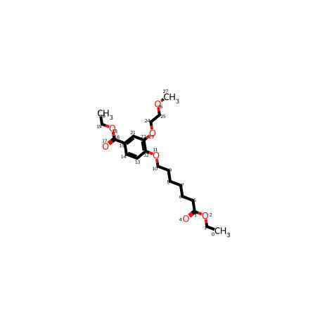 CCOC(=O)CCCCCCOc1ccc(C(=O)OCC)cc1OCCOC